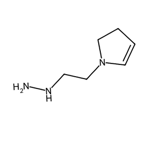 NNCCN1C=CCC1